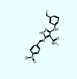 NC(=O)c1c(Nc2cccc(CI)c2)n[nH]c1/N=C/c1ccc([N+](=O)[O-])cc1